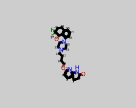 O=C1CCc2ccc(OCCCCN3CCN(c4cccc5c4C(=O)C(F)(F)CC5)CC3)nc2N1